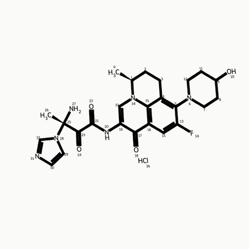 C[C@H]1CCc2c(N3CCC(O)CC3)c(F)cc3c(=O)c(NC(=O)C(=O)[C@@](C)(N)n4ccnc4)cn1c23.Cl